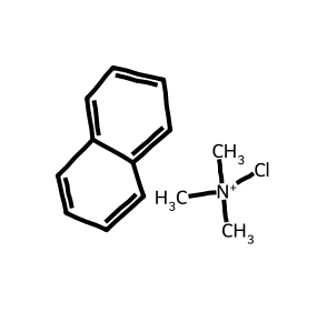 C[N+](C)(C)Cl.c1ccc2ccccc2c1